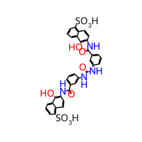 O=C(Nc1cccc(C(=O)Nc2ccc3c(S(=O)(=O)O)cccc3c2O)c1)Nc1cccc(C(=O)Nc2ccc3c(S(=O)(=O)O)cccc3c2O)c1